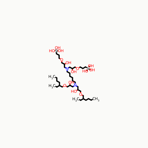 CCCCC(CC)COCC(O)CN(CCCCCCN(CC(O)COCCC[Si](O)(O)O)CC(O)COCCC[Si](O)(O)O)CC(O)COCC(CC)CCCC